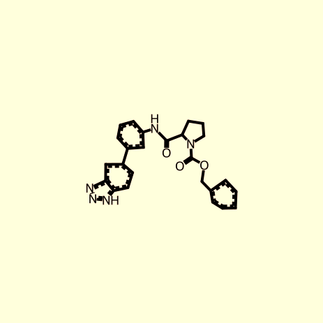 O=C(Nc1cccc(-c2ccc3[nH]nnc3c2)c1)C1CCCN1C(=O)OCc1ccccc1